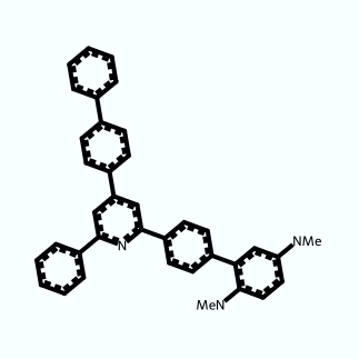 CNc1ccc(NC)c(-c2ccc(-c3cc(-c4ccc(-c5ccccc5)cc4)cc(-c4ccccc4)n3)cc2)c1